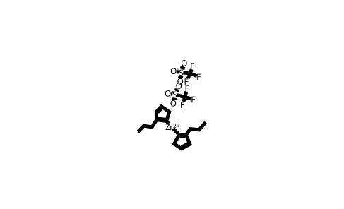 CCCC1=[C]([Zr+2][C]2=C(CCC)C=CC2)CC=C1.O=S(=O)([O-])C(F)(F)F.O=S(=O)([O-])C(F)(F)F